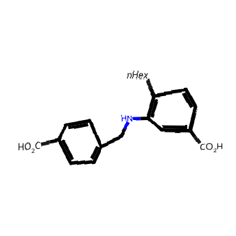 CCCCCCc1ccc(C(=O)O)cc1NCc1ccc(C(=O)O)cc1